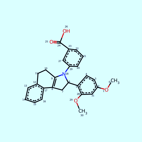 COc1ccc(C2CC3=C(CCc4ccccc43)N2c2cccc(C(=O)O)c2)c(OC)c1